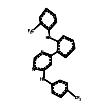 FC(F)(F)c1ccc(Nc2cc(-c3ccccc3Nc3ccccc3C(F)(F)F)ncn2)cc1